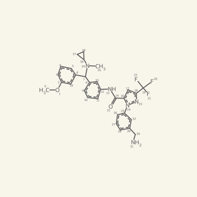 COc1cccc(C(c2cccc(NC(=O)c3cc(C(F)(F)F)nn3-c3cccc(CN)c3)c2)N(C)C2CC2)c1